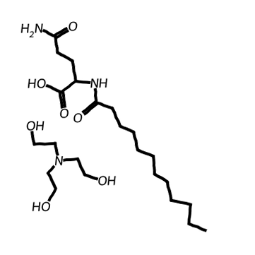 CCCCCCCCCCCC(=O)NC(CCC(N)=O)C(=O)O.OCCN(CCO)CCO